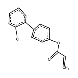 C=CC(=O)Oc1ccc(-c2ccccc2Cl)cc1